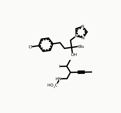 CC#CC(CNC(=O)O)C(C)I.CC(C)(C)C(O)(CCc1ccc(Cl)cc1)Cn1cncn1